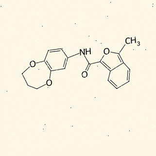 Cc1oc(C(=O)Nc2ccc3c(c2)OCCCO3)c2ccccc12